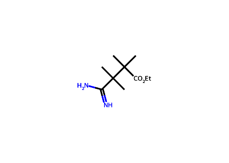 CCOC(=O)C(C)(C)C(C)(C)C(=N)N